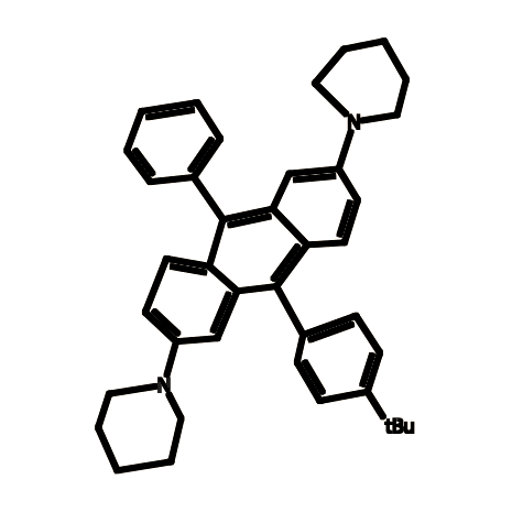 CC(C)(C)c1ccc(-c2c3ccc(N4CCCCC4)cc3c(-c3ccccc3)c3ccc(N4CCCCC4)cc23)cc1